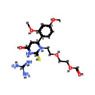 COc1ccc(-c2cc(=O)[nH]c(=S)n2CCOCCOC=O)c(OC)c1.N=C(N)N